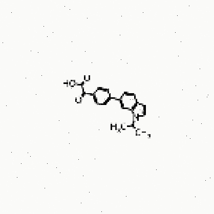 CC(C)n1ccc2ccc(-c3ccc(C(=O)C(=O)O)cc3)cc21